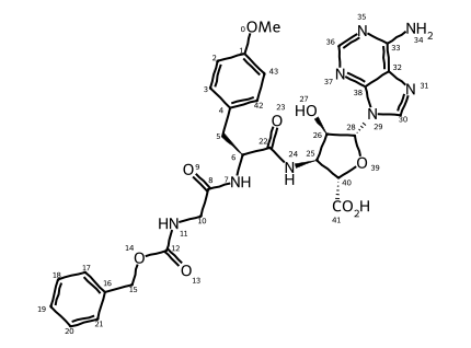 COc1ccc(C[C@H](NC(=O)CNC(=O)OCc2ccccc2)C(=O)N[C@H]2[C@@H](O)[C@H](n3cnc4c(N)ncnc43)O[C@@H]2C(=O)O)cc1